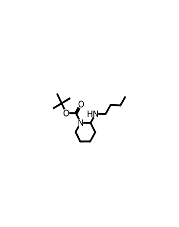 CCCCNC1CCCCN1C(=O)OC(C)(C)C